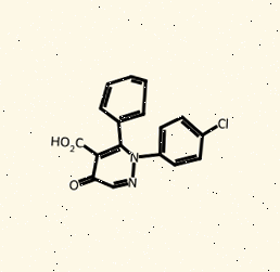 O=C(O)c1c(-c2ccccc2)n(-c2ccc(Cl)cc2)ncc1=O